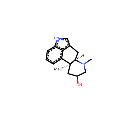 CO[C@@]12C[C@H](O)CN(C)[C@@H]1Cc1c[nH]c3cccc2c13